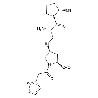 N#C[C@@H]1CCCN1C(=O)[C@@H](N)CN[C@H]1C[C@@H](C=O)N(C(=O)Cc2cccs2)C1